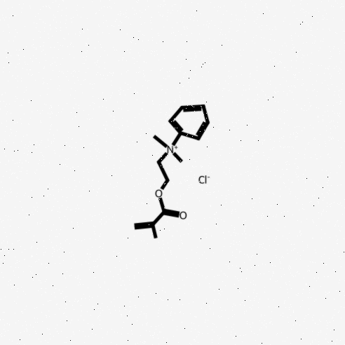 C=C(C)C(=O)OCC[N+](C)(C)c1ccccc1.[Cl-]